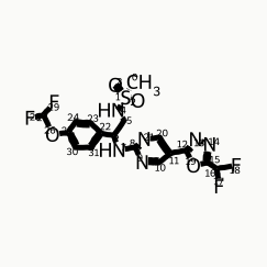 CS(=O)(=O)NCC(Nc1ncc(-c2nnc(C(F)F)o2)cn1)c1ccc(OC(F)F)cc1